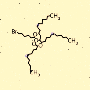 CCCCC/C=C\CCCC(=O)OC(CCC/C=C\CCCCC)C(CCC/C=C\CCCCC)OC(=O)CCCCCBr